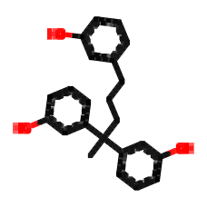 CC(CCCc1cccc(O)c1)(c1cccc(O)c1)c1cccc(O)c1